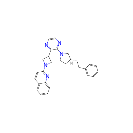 c1ccc(CC[C@@H]2CCN(c3nccnc3C3CN(c4ccc5ccccc5n4)C3)C2)cc1